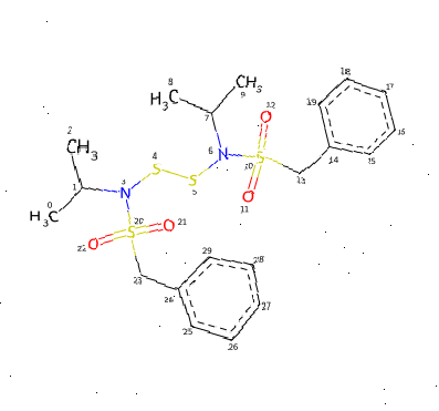 CC(C)N(SSN(C(C)C)S(=O)(=O)Cc1ccccc1)S(=O)(=O)Cc1ccccc1